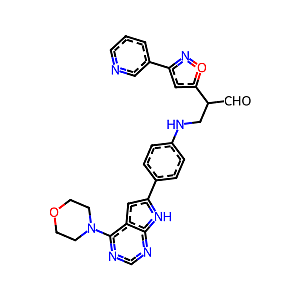 O=CC(CNc1ccc(-c2cc3c(N4CCOCC4)ncnc3[nH]2)cc1)c1cc(-c2cccnc2)no1